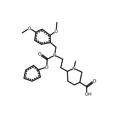 COc1ccc(CN(CCC2CCC(C(=O)O)CN2C)C(=O)Oc2ccccc2)c(OC)c1